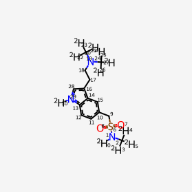 [2H]N(C([2H])([2H])[2H])S(=O)(=O)Cc1ccc2c(c1)c(CCN(C([2H])([2H])[2H])C([2H])([2H])[2H])cn2[2H]